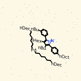 CCCCCCCCCCCCCCC[CH2][Pd][CH2]CCCCCCCCCCCCCCC.CCCCCCCCc1ccc(C2=C(CCCC)C(CCCCCC)=C(c3cccc(CCCC)c3)[N+]2=[N-])cc1